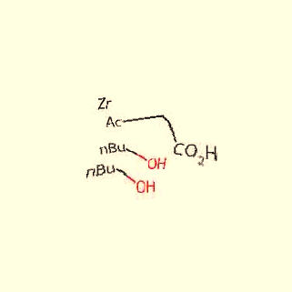 CC(=O)CC(=O)O.CCCCO.CCCCO.[Zr]